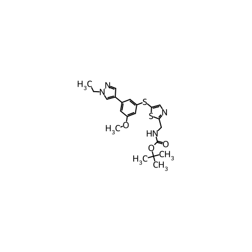 CCn1cc(-c2cc(OC)cc(Sc3cnc(CNC(=O)OC(C)(C)C)s3)c2)cn1